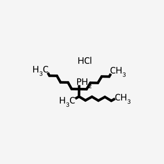 CCCCCCC(C)C(P)(CCCCCC)CCCCCC.Cl